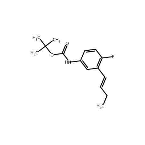 CC/C=C/c1cc(NC(=O)OC(C)(C)C)ccc1F